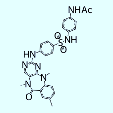 CC(=O)Nc1ccc(NS(=O)(=O)c2ccc(Nc3ncc4c(n3)N(C)c3ccc(C)cc3C(=O)N4C)cc2)cc1